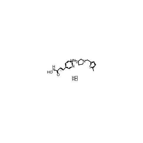 Cc1ccc(CN2CC[C@@H](Nc3ccc(/C=C/C(=O)NO)cn3)C2)s1.Cl.Cl